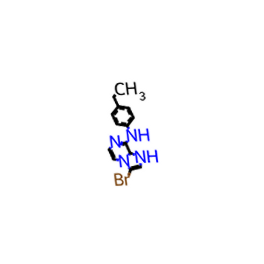 CCc1ccc(NC2=NC=CN3C(Br)=CNC23)cc1